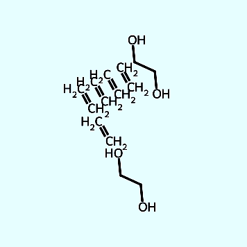 C=C.C=C.C=C.C=C.C=C.OCCO.OCCO